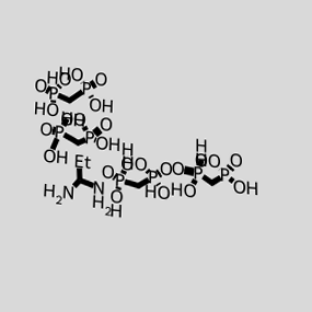 CCC(N)N.O=P(O)(O)CP(=O)(O)O.O=P(O)(O)CP(=O)(O)O.O=P(O)(O)CP(=O)(O)O.O=P(O)(O)CP(=O)(O)O